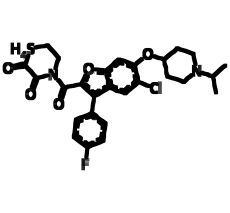 CC(C)N1CCC(Oc2cc3oc(C(=O)N4CC[SH4]C(=O)C4=O)c(-c4ccc(F)cc4)c3cc2Cl)CC1